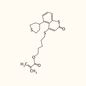 C=C(C)C(=O)OCCCCCSc1cc(=O)sc2cccc(C3CCSCC3)c12